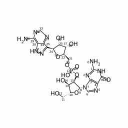 Nc1nc2c(ncn2[C@@H]2O[C@H](CO)[C@@H](O)[C@H]2OP(=O)(O)OC[C@H]2O[C@@H](c3n[nH]c4c(N)ncnc34)[C@H](O)[C@@H]2O)c(=O)[nH]1